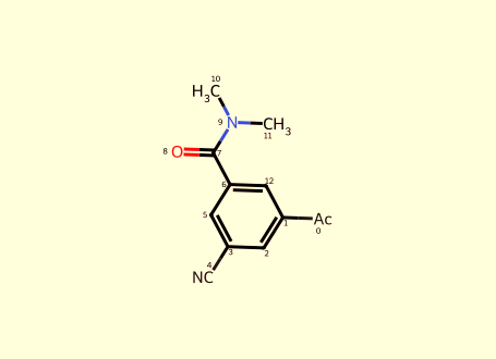 CC(=O)c1cc(C#N)cc(C(=O)N(C)C)c1